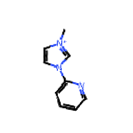 C[n+]1ccn(-c2ccccn2)c1